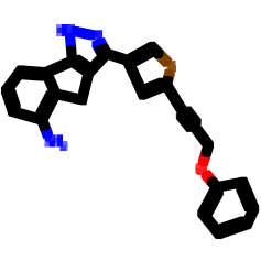 Nc1cccc2c1Cc1c(-c3csc(C#CCOc4ccccc4)c3)n[nH]c1-2